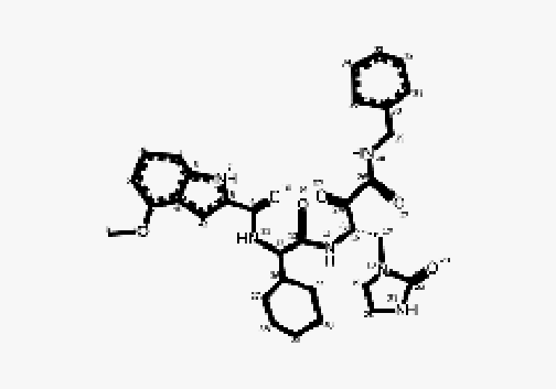 COc1cccc2[nH]c(C(=O)NC(C(=O)N[C@@H](CN3CCNC3=O)C(=O)C(=O)NCc3ccccc3)C3CCCCC3)cc12